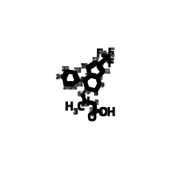 CN(CC(=O)O)C[C@H]1CCc2cc(C(F)(F)F)ccc2[C@H]1c1ccccc1